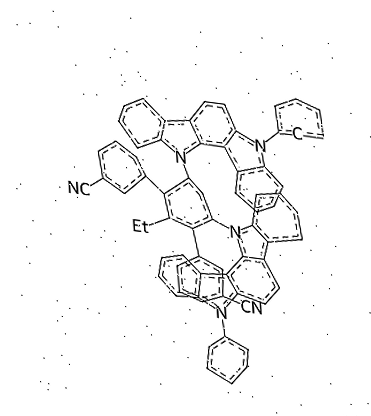 CCc1c(-c2cccc(C#N)c2)c(-n2c3ccccc3c3ccc4c(c5ccccc5n4-c4ccccc4)c32)cc(-n2c3ccccc3c3ccc4c(c5ccccc5n4-c4ccccc4)c32)c1-c1cccc(C#N)c1